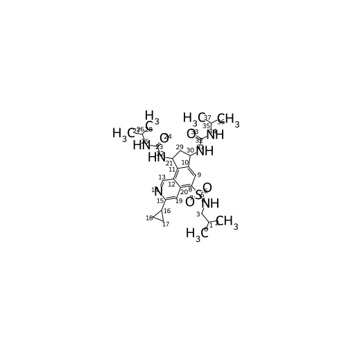 CC(C)CNS(=O)(=O)c1cc2c(c3cnc(C4CC4)cc13)C(NC(=O)NC(C)C)CC2NC(=O)NC(C)C